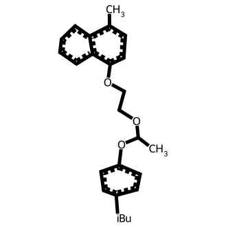 CCC(C)c1ccc(OC(C)OCCOc2ccc(C)c3ccccc23)cc1